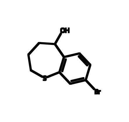 OC1CCCSc2cc(Br)ccc21